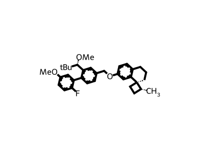 COc1ccc(F)c(-c2ccc(COc3ccc4c(c3)[C@]3(CCC4)CC[C@H]3C)cc2[C@@H](OC)C(C)(C)C)c1